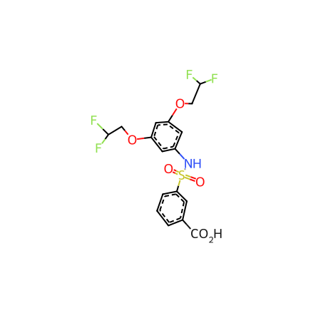 O=C(O)c1cccc(S(=O)(=O)Nc2cc(OCC(F)F)cc(OCC(F)F)c2)c1